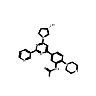 CC(=O)Nc1cc(-c2cc(N3CC[C@H](O)C3)nc(-c3cccnc3)n2)ccc1N1CCOCC1